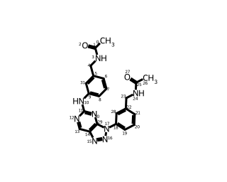 CC(=O)NCc1cccc(Nc2ncc3nnn(-c4cccc(CNC(C)=O)c4)c3n2)c1